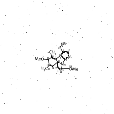 CCCSc1cnc2n1C1=C(C)C(OC)C(C)=CC13C=CC=C(OC)N23